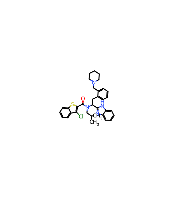 CC(C)CN(C(=O)c1sc2ccccc2c1Cl)C(Cc1ccccc1CN1CCCCC1)c1nc2ccccc2[nH]1